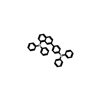 c1ccc(N(c2ccccc2)c2ccc(-c3ccc4cccc(N(c5ccccc5)c5ccccc5)c4c3)cc2)cc1